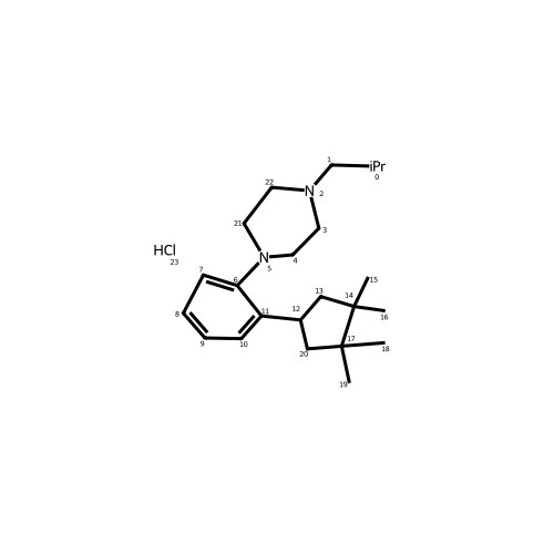 CC(C)CN1CCN(c2ccccc2C2CC(C)(C)C(C)(C)C2)CC1.Cl